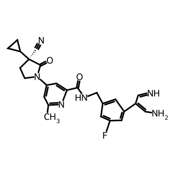 Cc1cc(N2CC[C@@](C#N)(C3CC3)C2=O)cc(C(=O)NCc2cc(F)cc(/C(C=N)=C/N)c2)n1